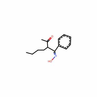 CCCCC(C(C)=O)C(=NO)c1ccccc1